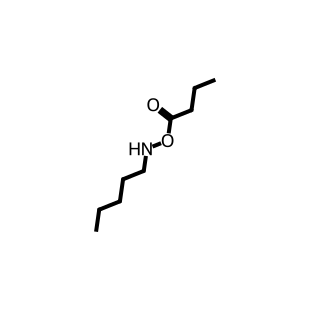 CCCCCNOC(=O)CCC